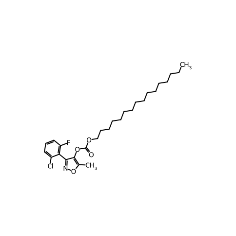 CCCCCCCCCCCCCCCCOC(=O)Oc1c(-c2c(F)cccc2Cl)noc1C